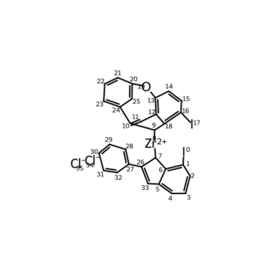 Ic1cccc2c1[CH]([Zr+2][CH]1C3=Cc4c(ccc(I)c41)Oc1cccc3c1)C(c1ccccc1)=C2.[Cl-].[Cl-]